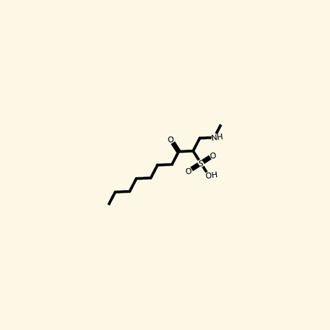 CCCCCCCC(=O)C(CNC)S(=O)(=O)O